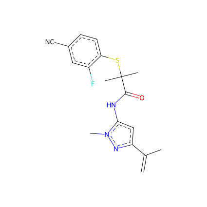 C=C(C)c1cc(NC(=O)C(C)(C)Sc2ccc(C#N)cc2F)n(C)n1